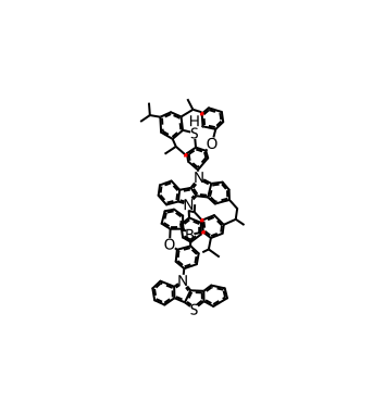 CC(C)c1cc(C(C)C)c([SH]2c3ccccc3Oc3cc(-n4c5ccc(CC(C)c6cc(C(C)C)c(B7c8ccccc8Oc8cc(-n9c%10ccccc%10c%10sc%11ccccc%11c%109)ccc87)c(C(C)C)c6)cc5c5c4c4ccccc4n5-c4ccccc4)ccc32)c(C(C)C)c1